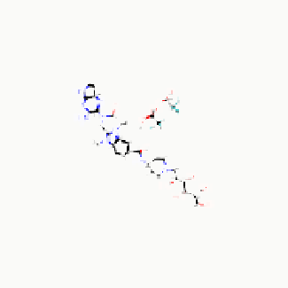 CCn1c(CN(C=O)c2nc3cc[nH]c3nc2N)[n+](CC)c2ccc(C(=O)NC3CCN(C[C@H](O)[C@@H](O)[C@H](O)[C@H](O)CO)CC3)cc21.O=C(O)C(F)(F)F.O=C([O-])C(F)(F)F